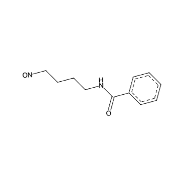 O=NCCCCNC(=O)c1ccccc1